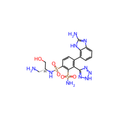 NC[C@H](CO)NS(=O)(=O)c1ccc(-c2cccc3nc(N)[nH]c23)c(-c2nn[nH]n2)c1S(N)(=O)=O